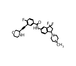 CN1CCN(C2CC(F)(F)c3cc(NC(=O)c4ccc(F)c(C#CC5COCCN5)c4)ccc32)CC1